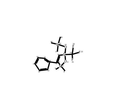 C[Si](C)(C)O[Si](C=Cc1ccccc1)(O[Si](C)(C)C)C(F)(F)F